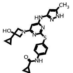 Cc1cc(Nc2cc(N3CC(O)(C4CC4)C3)nc(Sc3ccc(NC(=O)C4CC4)cc3)n2)n[nH]1